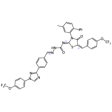 Cc1ccc(C(C)C)c(N2C(=O)/C(=C\c3ccc(OC(F)(F)F)cc3)S/C2=N\C(=O)N/N=C/c2ccc(-c3ncn(-c4ccc(OC(F)(F)F)cc4)n3)cc2)c1